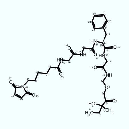 CCC(C)(C)C(=O)COCNC(=O)CNC(=O)[C@H](Cc1ccccc1)NC(=O)CNC(=O)CNC(=O)CCCCCN1C(=O)C=CC1=O